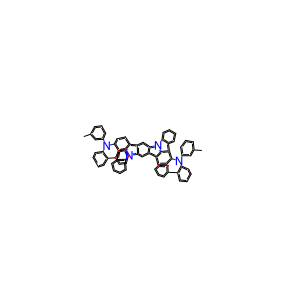 Cc1cccc(N(c2ccccc2-c2ccccc2)c2ccc3c4cc5c(cc4n4c6ccccc6c2c34)c2ccc(N(c3cccc(C)c3)c3ccccc3-c3ccccc3)c3c4ccccc4n5c23)c1